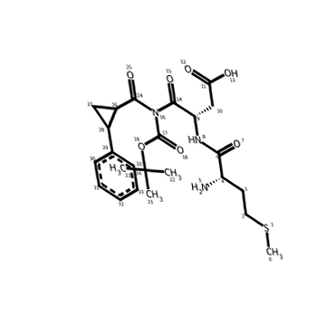 CSCC[C@H](N)C(=O)N[C@@H](CC(=O)O)C(=O)N(C(=O)OC(C)(C)C)C(=O)C1CC1c1ccccc1